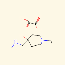 CCN1CCC(O)(CNC)CC1.O=C(O)C(=O)O